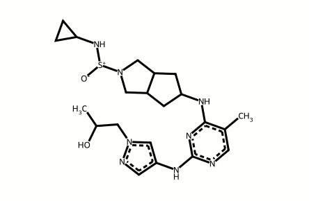 Cc1cnc(Nc2cnn(CC(C)O)c2)nc1NC1CC2CN([S+]([O-])NC3CC3)CC2C1